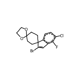 Fc1c(Cl)ccc2c1C=C(Br)C21CCC2(CC1)OCCO2